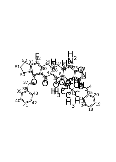 CC(C)(C)[Si](C)(C)O[C@@]12C(=O)c3c(OCc4ccccc4)noc3[C@@H](N)[C@@H]1C[C@@H]1Cc3c(F)c4c(c(OCc5ccccc5)c3C(=O)C1=C2O)CCC4